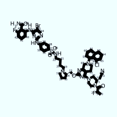 C=C(F)C(=O)N1CCN(c2nc(OC[C@@H]3CCCN3CCCCNS(=O)(=O)c3ccc(Nc4ncc(Br)c(Nc5cccc(F)c5C(N)=O)n4)cc3)nc3c2CCN(c2cccc4cccc(Cl)c24)C3)C[C@@H]1CC#N